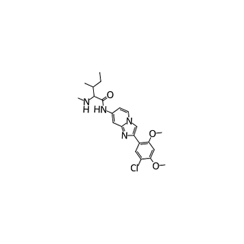 CCC(C)C(NC)C(=O)Nc1ccn2cc(-c3cc(Cl)c(OC)cc3OC)nc2c1